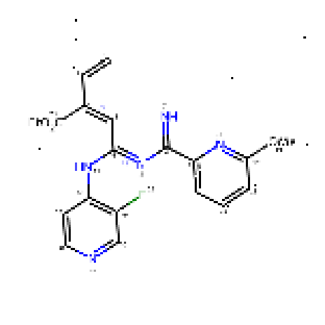 C=C/C(=C/C(=N\C(=N)c1cccc(OC)n1)Nc1ccncc1F)C(=O)OCC